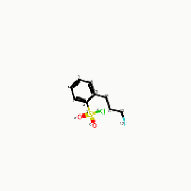 O=S(=O)(Cl)c1ccccc1CCCF